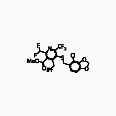 COC(=O)c1c(C(F)F)nc(C(F)(F)F)c(SCc2ccc3c(c2Cl)OCO3)c1CC(C)C